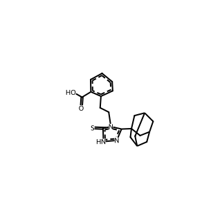 O=C(O)c1ccccc1CCn1c(C23CC4CC(CC(C4)C2)C3)n[nH]c1=S